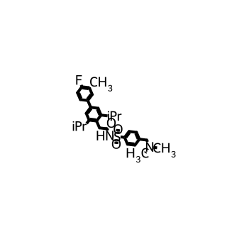 Cc1cc(-c2cc(C(C)C)c(CC(=O)NS(=O)(=O)c3ccc(CN(C)C)cc3)c(C(C)C)c2)ccc1F